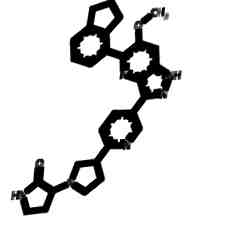 COc1cc2[nH]nc(-c3ccc(C4CCN(C5CCNC5=O)C4)nc3)c2nc1-c1cccc2c1CCC2